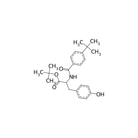 CC(C)(C)OC(=O)C(Cc1ccc(O)cc1)NC(=O)c1ccc(C(C)(C)C)cc1